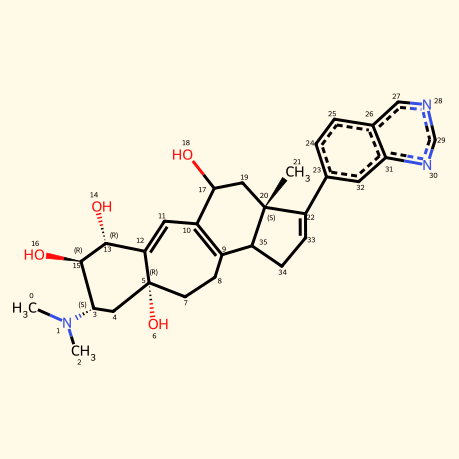 CN(C)[C@H]1C[C@]2(O)CCC3=C(C=C2[C@@H](O)[C@@H]1O)C(O)C[C@]1(C)C(c2ccc4cncnc4c2)=CCC31